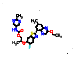 CCOc1cnc2c(-c3nc4cc(F)c(OC(C)COC(=O)Nc5cnc(C)nc5)cc4s3)cc(C)cc2n1